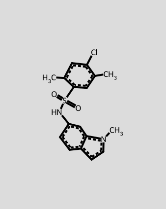 Cc1cc(S(=O)(=O)Nc2ccc3ccn(C)c3c2)c(C)cc1Cl